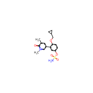 Cc1cc(-c2cc(OS(N)(=O)=O)ccc2OCC2CC2)cn(C)c1=O